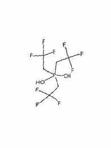 OP(O)(CC(F)(F)F)(CC(F)(F)F)CC(F)(F)F